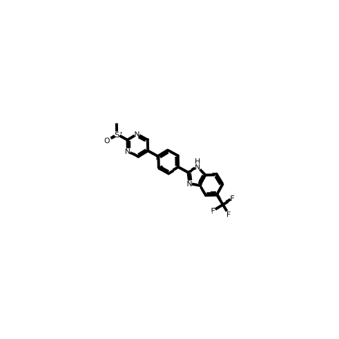 C[S+]([O-])c1ncc(-c2ccc(-c3nc4cc(C(F)(F)F)ccc4[nH]3)cc2)cn1